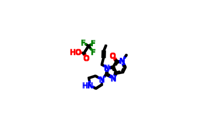 CC#CCn1c(N2CCNCC2)nc2ccn(C)c(=O)c21.O=C(O)C(F)(F)F